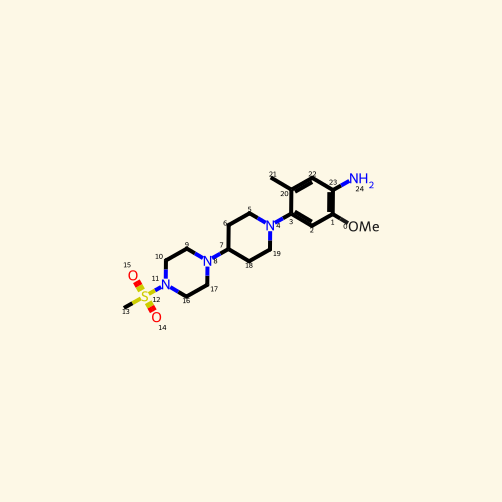 COc1cc(N2CCC(N3CCN(S(C)(=O)=O)CC3)CC2)c(C)cc1N